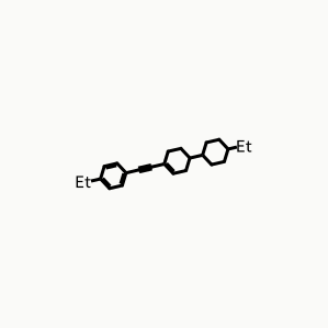 CCc1ccc(C#CC2=CCC(C3CCC(CC)CC3)CC2)cc1